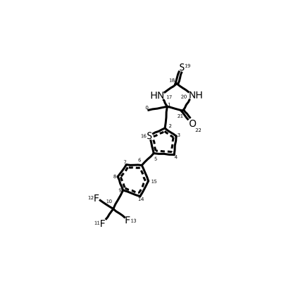 CC1(c2ccc(-c3ccc(C(F)(F)F)cc3)s2)NC(=S)NC1=O